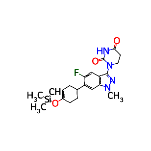 Cn1nc(N2CCC(=O)NC2=O)c2cc(F)c(C3CC=C(O[Si](C)(C)C)CC3)cc21